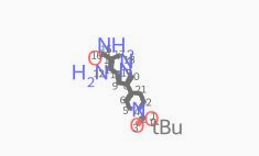 CC(C)(C)OC(=O)N1CC=C(c2cc3c(N)c(C(N)=O)cnn3c2)CC1